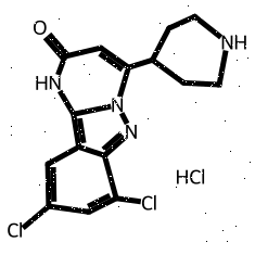 Cl.O=c1cc(C2CCNCC2)n2nc3c(Cl)cc(Cl)cc3c2[nH]1